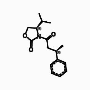 CC(C)[C@@H]1COC(=O)N1C(=O)C[C@@H](C)c1ccccc1